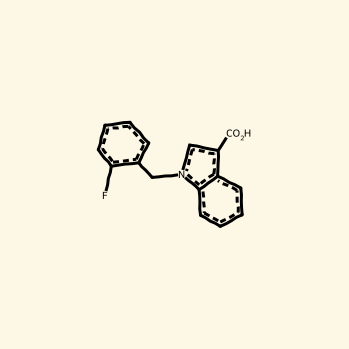 O=C(O)c1cn(Cc2ccccc2F)c2ccccc12